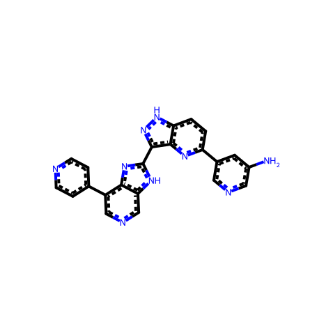 Nc1cncc(-c2ccc3[nH]nc(-c4nc5c(-c6ccncc6)cncc5[nH]4)c3n2)c1